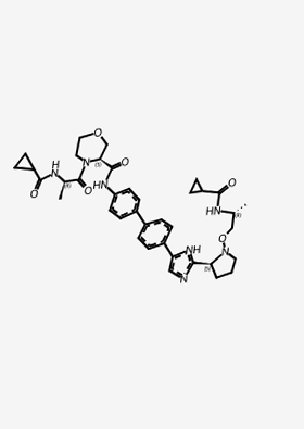 C[C@H](CON1CCC[C@H]1c1ncc(-c2ccc(-c3ccc(NC(=O)[C@@H]4COCCN4C(=O)[C@@H](C)NC(=O)C4CC4)cc3)cc2)[nH]1)NC(=O)C1CC1